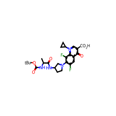 CC(NC(=O)OC(C)(C)C)C(=O)NC1CCN(c2c(F)cc3c(=O)c(C(=O)O)cn(C4CC4)c3c2F)C1